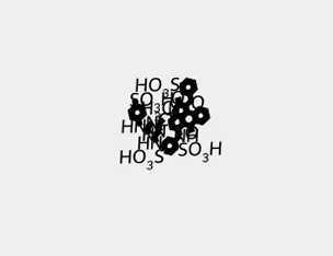 Cn1c(=O)c(C(=O)c2cccc(S(=O)(=O)O)c2)c2c3c(c(Nc4cc(Nc5nc(Cl)nc(Nc6ccc(S(=O)(=O)O)cc6)n5)c(S(=O)(=O)O)cc4S(=O)(=O)O)ccc31)C(=O)c1ccccc1-2